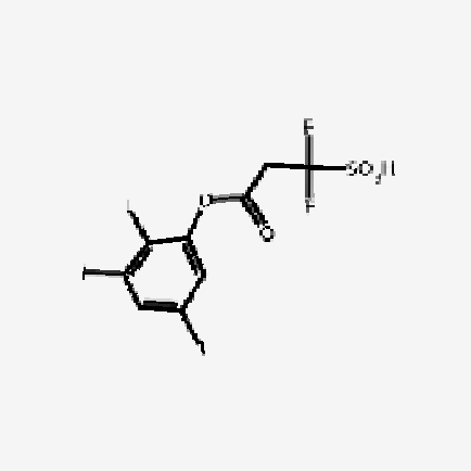 O=C(CC(F)(F)S(=O)(=O)O)Oc1cc(I)cc(I)c1I